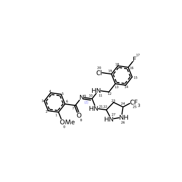 COc1ccccc1C(=O)/N=C(/NCc1ccc(F)cc1Cl)NC1CC(C(F)(F)F)NN1